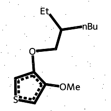 CCCCC(CC)COc1cscc1OC